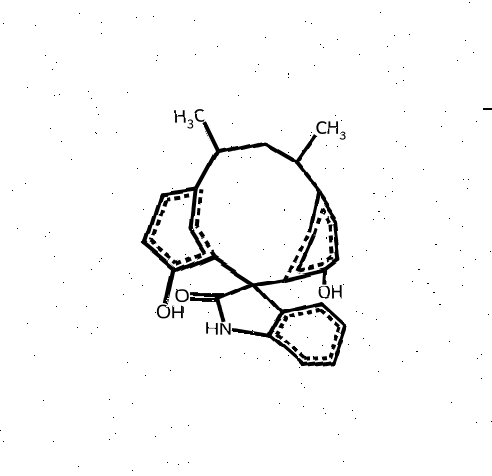 CC1CC(C)c2ccc(O)c(c2)C2(C(=O)Nc3ccccc32)c2cc1ccc2O